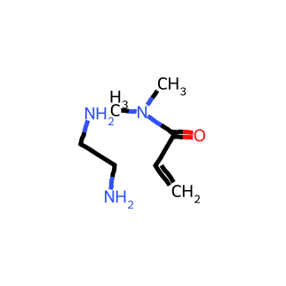 C=CC(=O)N(C)C.NCCN